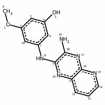 COc1cc(O)cc(Nc2nc3cccnc3nc2N)c1